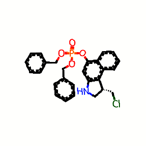 O=P(OCc1ccccc1)(OCc1ccccc1)Oc1cc2c(c3ccccc13)[C@H](CCl)CN2